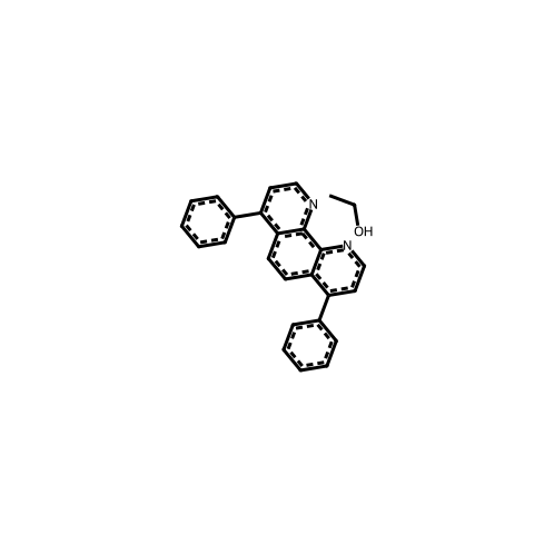 CCO.c1ccc(-c2ccnc3c2ccc2c(-c4ccccc4)ccnc23)cc1